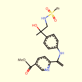 C=C(Nc1ccc(C(C)(O)CNS(=O)(=O)C(C)C)cc1)c1ccc(C(=O)OC)cn1